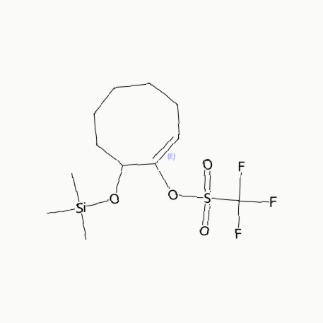 C[Si](C)(C)OC1CCCCC/C=C\1OS(=O)(=O)C(F)(F)F